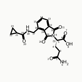 NC(=O)CC[C@@H](C(=O)O)N1C(=O)c2cccc(CNC(=O)C3CC3)c2C1=O